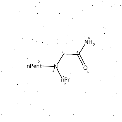 CCCCCN(CCC)CC(N)=O